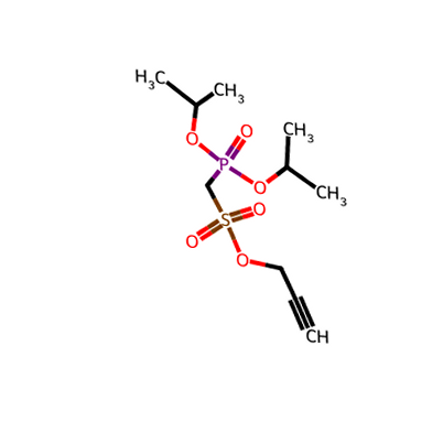 C#CCOS(=O)(=O)CP(=O)(OC(C)C)OC(C)C